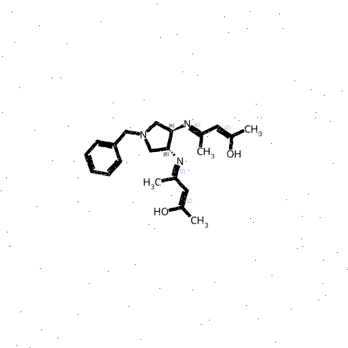 C/C(O)=C/C(C)=N/[C@@H]1CN(Cc2ccccc2)C[C@H]1/N=C(C)/C=C(/C)O